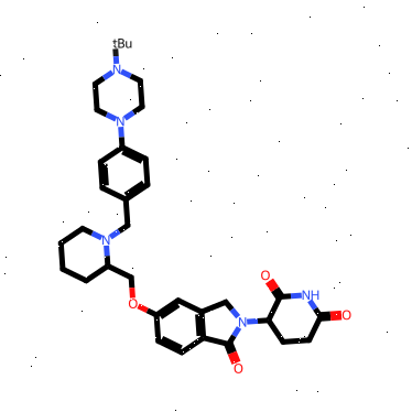 CC(C)(C)N1CCN(c2ccc(CN3CCCCC3COc3ccc4c(c3)CN(C3CCC(=O)NC3=O)C4=O)cc2)CC1